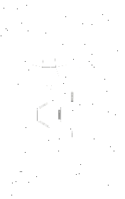 COC(=O)c1c(OC)cccc1N1OC(C)(C)C(C)(C)O1